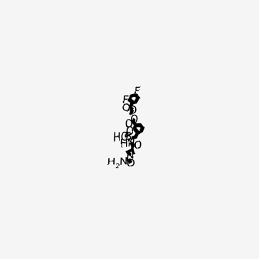 NC(=O)N1CC(C(=O)N[C@H]2Cc3cccc(C(=O)OCOC(=O)c4ccc(F)cc4F)c3OB2O)C1